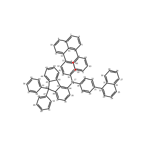 c1ccc(-c2cccc3cccc(-c4ccc(N(c5ccc(-c6cccc7ccccc67)cc5)c5cccc6c5-c5ccccc5C6(c5ccccc5)c5ccccc5)cc4)c23)cc1